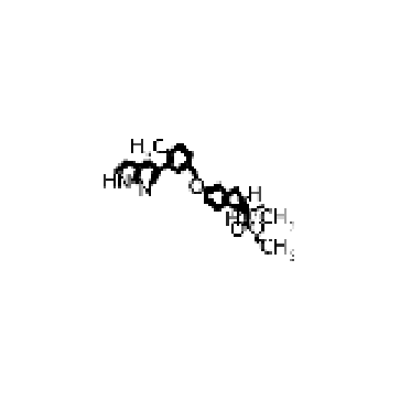 CCOC(=O)[C@@]1(CC)[C@@H]2Cc3cc(OCc4ccc(C)c(-c5cnc6[nH]ccc6c5)c4)ccc3[C@H]21